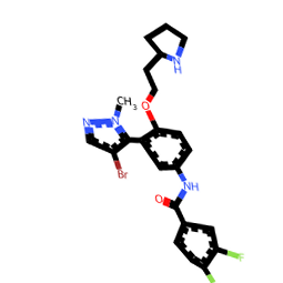 Cn1ncc(Br)c1-c1cc(NC(=O)c2ccc(F)c(F)c2)ccc1OCCC1CCCN1